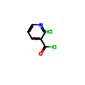 Cl.O=C(Cl)c1cccnc1